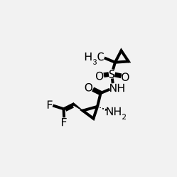 CC1(S(=O)(=O)NC(=O)[C@@]2(N)C[C@H]2C=C(F)F)CC1